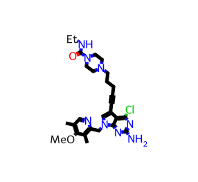 CCNC(=O)N1CCN(CCCC#Cc2cn(Cc3ncc(C)c(OC)c3C)c3nc(N)nc(Cl)c23)CC1